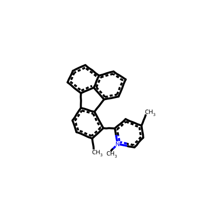 Cc1cc[n+](C)c(-c2c(C)ccc3c2-c2cccc4cccc-3c24)c1